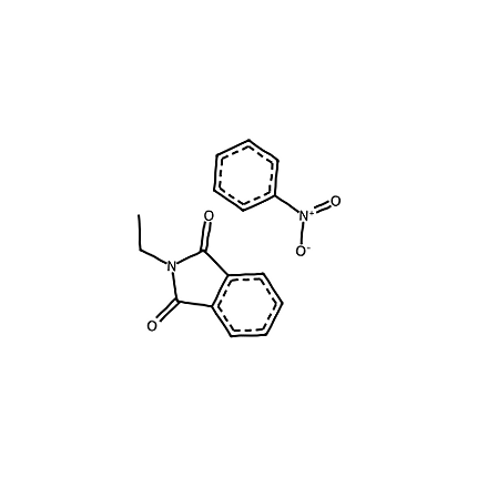 CCN1C(=O)c2ccccc2C1=O.O=[N+]([O-])c1ccccc1